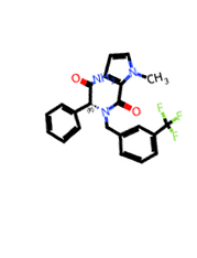 Cn1cccc1C(=O)N(Cc1cccc(C(F)(F)F)c1)[C@@H](C(N)=O)c1ccccc1